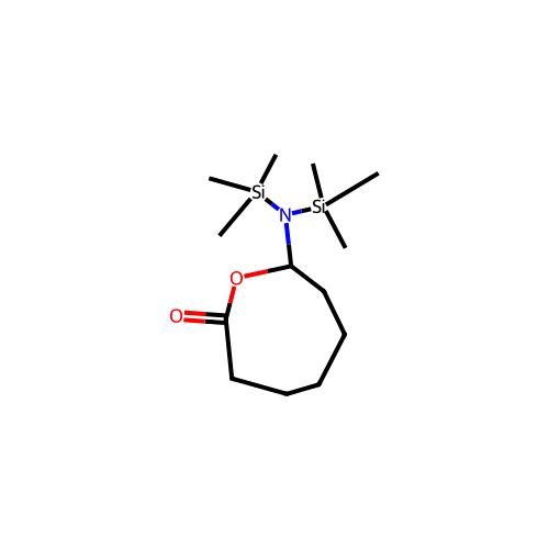 C[Si](C)(C)N(C1CCCCCC(=O)O1)[Si](C)(C)C